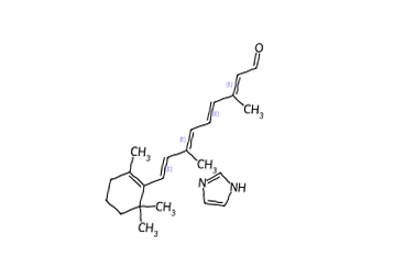 CC1=C(/C=C/C(C)=C/C=C/C(C)=C/C=O)C(C)(C)CCC1.c1c[nH]cn1